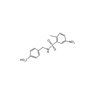 Cc1ccc([N+](=O)[O-])cc1S(=O)(=O)NCc1ccc(C(=O)O)cc1